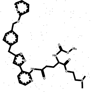 CN(C)CCOC(=O)C(CCC(=O)Nc1ncccc1-c1cc(Cc2ccc(COc3ccccn3)cc2)no1)NC(=O)OC(C)(C)C